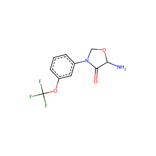 NC1OCN(c2cccc(OC(F)(F)F)c2)C1=O